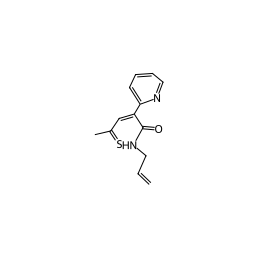 C=CCNC(=O)C(=CC(C)=S)c1ccccn1